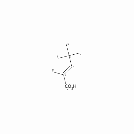 C/C(=C\C(C)(C)C)C(=O)O